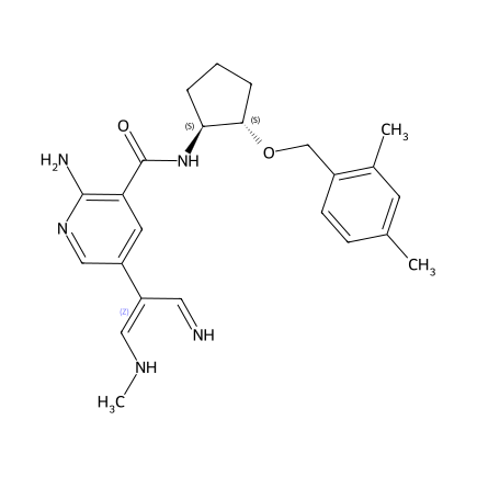 CN/C=C(\C=N)c1cnc(N)c(C(=O)N[C@H]2CCC[C@@H]2OCc2ccc(C)cc2C)c1